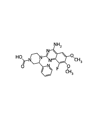 COc1cc2c(N)nc(N3CCN(C(=O)O)CC3c3ccccn3)nc2c(F)c1OC